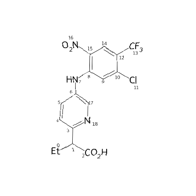 CCC(C(=O)O)c1ccc(Nc2cc(Cl)c(C(F)(F)F)cc2[N+](=O)[O-])cn1